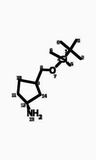 CC(C)(C)[Si](C)(C)OCC1CC[C@H](N)C1